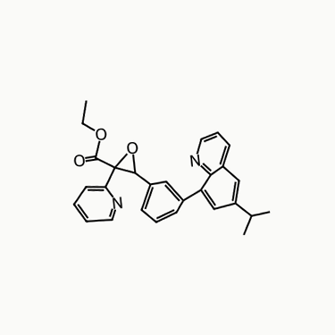 CCOC(=O)C1(c2ccccn2)OC1c1cccc(-c2cc(C(C)C)cc3cccnc23)c1